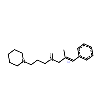 C/C(=C\c1ccccc1)CNCCCN1CCCCC1